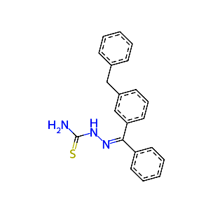 NC(=S)NN=C(c1ccccc1)c1cccc(Cc2ccccc2)c1